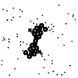 Cc1ccc2c(oc3c(-c4ccccc4)cccc32)c1N(c1ccccc1)c1cccc2c1c1cccc3c4cc5c(cc4n2c31)c1cccc2c3c(N(c4ccccc4)c4c(C)ccc6c4oc4c(-c7ccccc7)cccc46)cccc3n5c12